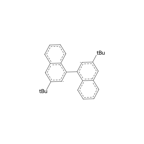 CC(C)(C)c1[c]c(-c2[c]c(C(C)(C)C)cc3ccccc23)c2ccccc2c1